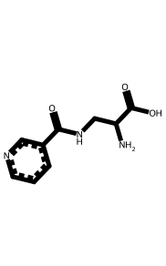 NC(CNC(=O)c1cccnc1)C(=O)O